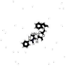 CC(=N)/C(NC(=O)C(C)OC(=O)Cn1c(C)cc2ccccc21)=C(/C)Nc1ccccc1